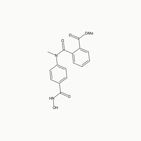 COC(=O)c1ccccc1C(=O)N(C)c1ccc(C(=O)NO)cc1